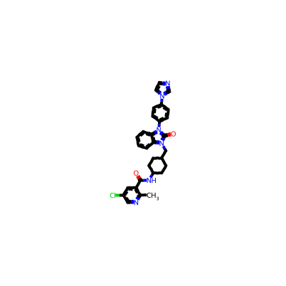 Cc1ncc(Cl)cc1C(=O)NC1CCC(Cn2c(=O)n(-c3ccc(-n4ccnc4)cc3)c3ccccc32)CC1